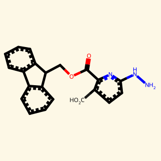 NNc1ccc(C(=O)O)c(C(=O)OCC2c3ccccc3-c3ccccc32)n1